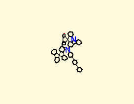 c1ccc(-c2ccc(-c3ccc(N(c4cc5c6c(c4)c4ccccc4n6-c4ccccc4C54c5ccccc5-c5ccccc54)c4cccc5c4-c4ccccc4C54c5ccccc5-c5ccccc54)cc3)cc2)cc1